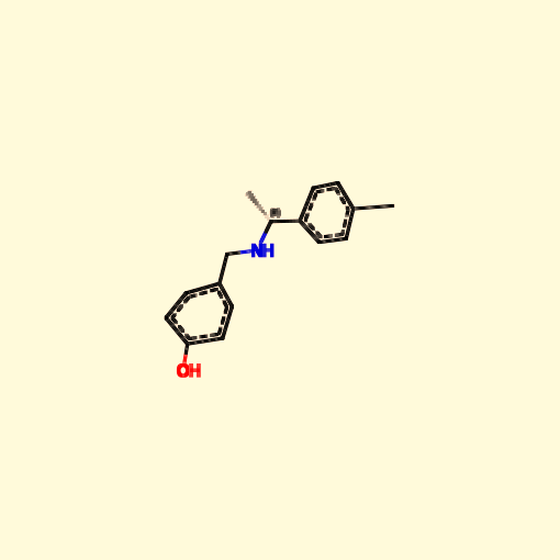 Cc1ccc([C@@H](C)NCc2ccc(O)cc2)cc1